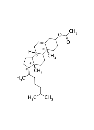 CC(=O)OC1CC[C@@]2(C)C(=CC[C@@H]3C2CC[C@@]2(C)C3CC[C@@H]2C(C)CCCC(C)C)C1